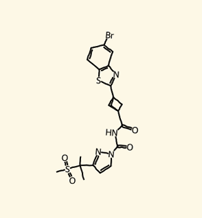 CC(C)(c1ccn(C(=O)NC(=O)C23CC(c4nc5cc(Br)ccc5s4)(C2)C3)n1)S(C)(=O)=O